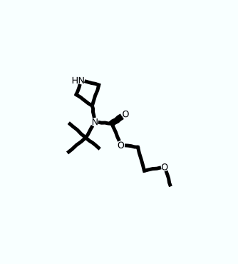 COCCOC(=O)N(C1CNC1)C(C)(C)C